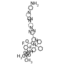 CCN(C)S(=O)(=O)Nc1ccc(F)c(C(=O)c2cn(C(c3ccccc3)(c3ccccc3)c3ccccc3)c3ncc(-c4cnc(N5CCC(n6cc7c(n6)CN(c6ccc(N)cc6)CC7)CC5)nc4)cc23)c1F